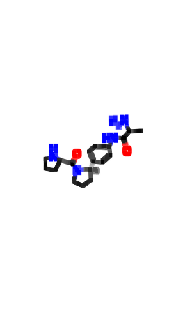 CC(N)C(=O)Nc1ccc([C@@H]2CCCN2C(=O)C2CCCN2)cc1